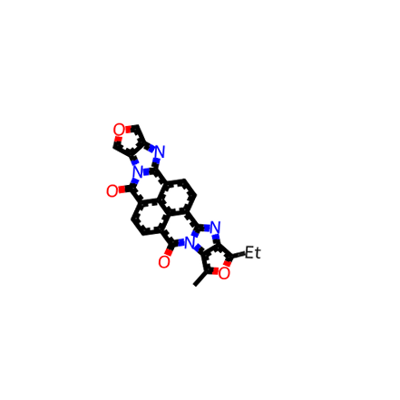 CCc1oc(C)c2c1nc1c3ccc4c5c(ccc(c(=O)n12)c35)c(=O)n1c2cocc2nc41